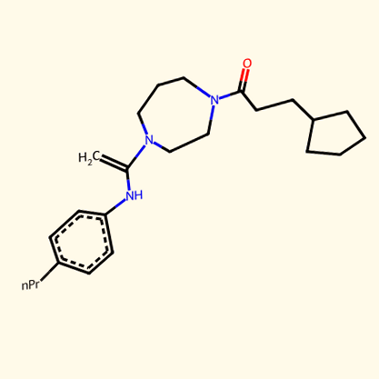 C=C(Nc1ccc(CCC)cc1)N1CCCN(C(=O)CCC2CCCC2)CC1